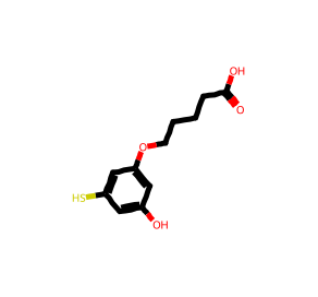 O=C(O)CCCCOc1cc(O)cc(S)c1